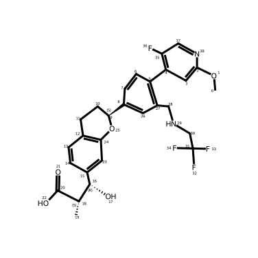 COc1cc(-c2ccc([C@@H]3CCc4ccc([C@H](O)[C@H](C)C(=O)O)cc4O3)cc2CNCC(F)(F)F)c(F)cn1